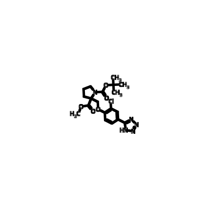 COC(=O)C1(COc2ccc(-c3nnn[nH]3)cc2Cl)CCCN1C(=O)OC(C)(C)C